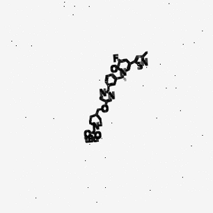 Cc1cc(-c2cc(F)c(=O)n([C@H](C)c3cccc(-c4ncc(OCC5CCN(C(=O)OC(C)(C)C)CC5)cn4)c3)c2)sn1